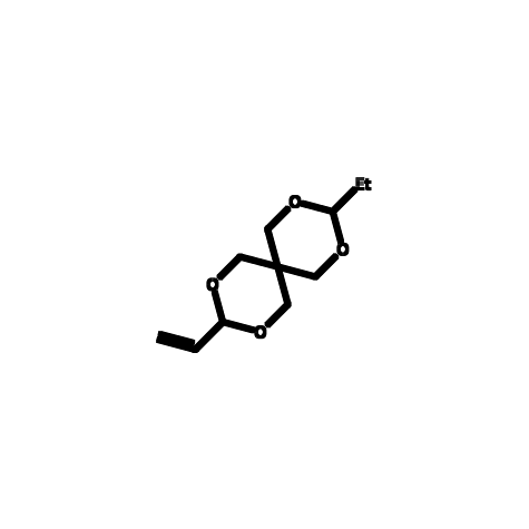 C=CC1OCC2(CO1)COC(CC)OC2